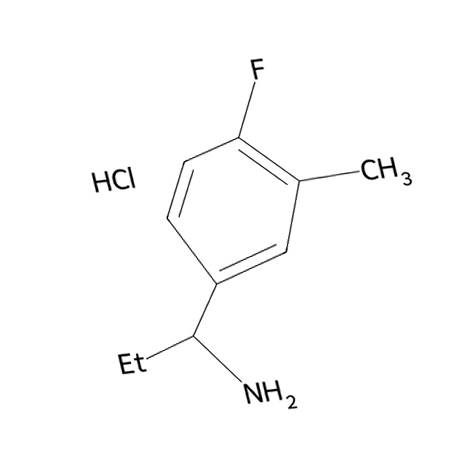 CCC(N)c1ccc(F)c(C)c1.Cl